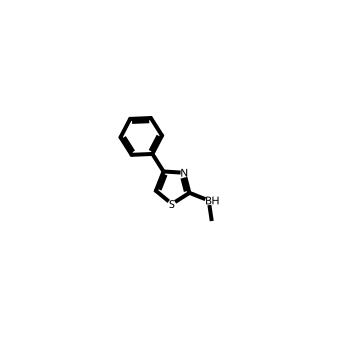 CBc1nc(-c2ccccc2)cs1